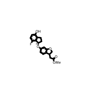 COC(=O)CC1COc2cc(O[C@@H]3CCc4c(O)ccc(F)c43)ccc21